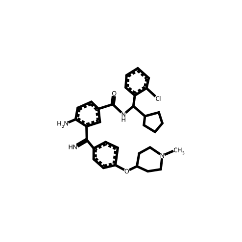 CN1CCC(Oc2ccc(C(=N)c3cc(C(=O)NC(c4ccccc4Cl)C4CCCC4)ccc3N)cc2)CC1